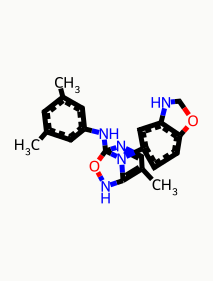 CC1=C2NOC(Nc3cc(C)cc(C)c3)(N=C1)N2c1ccc2c(c1)NCO2